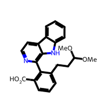 COC(C[CH]c1cccc(C(=O)O)c1-c1nccc2c1[nH]c1ccccc12)OC